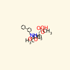 CO[C@@H](Cc1cccc(OC(C)(C)C(=O)NCc2cccc(-c3ccccc3)c2)c1)C(=O)O